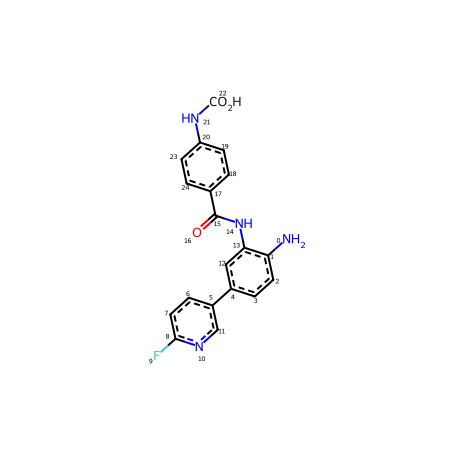 Nc1ccc(-c2ccc(F)nc2)cc1NC(=O)c1ccc(NC(=O)O)cc1